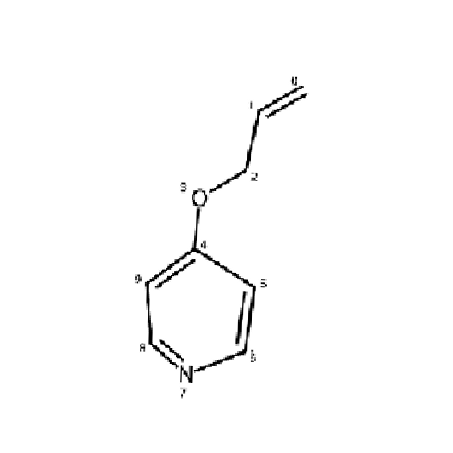 C=CCOc1c[c]ncc1